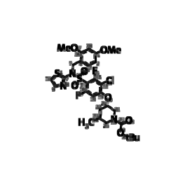 COc1ccc(CN(c2nccs2)S(=O)(=O)c2c(F)cc(O[C@H]3C=C(C)CN(C(=O)OC(C)(C)C)C3)c(Cl)c2F)c(OC)c1